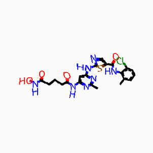 Cc1nc(NC(=O)CCCC(=O)NO)cc(Nc2ncc(C(=O)Nc3c(C)cccc3Cl)s2)n1